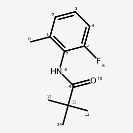 Cc1cccc(F)c1NC(=O)C(C)(C)C